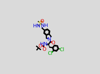 CC(C)(C)OC(=O)N[C@H](Cc1ccc(Cl)cc1Cl)C(=O)N1Cc2ccc(CNS(C)(=N)=O)cc2C1